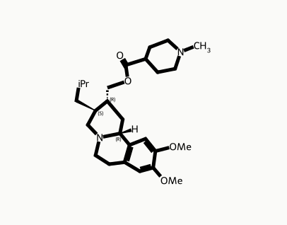 COc1cc2c(cc1OC)[C@H]1C[C@@H](COC(=O)C3CCN(C)CC3)[C@H](CC(C)C)CN1CC2